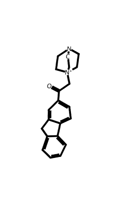 O=C(C[N+]12CCN(CC1)CC2)c1ccc2c(c1)Cc1ccccc1-2